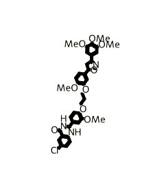 COc1cc(C2NC(=O)c3cc(Cl)ccc3N2)ccc1OCCCOc1cc(C2CC(c3cc(OC)c(OC)c(OC)c3)=NO2)ccc1OC